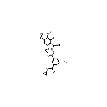 CCOc1cc2c(c(F)c1OCC)C(=N)N(CC(=O)c1cc(C(=O)NC3CC3)cc(C(C)(C)C)c1)C21CC1